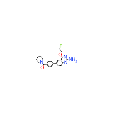 Nc1nc(OCCF)c2cc(-c3ccc(C(=O)N4CCCCC4)cc3)ccc2n1